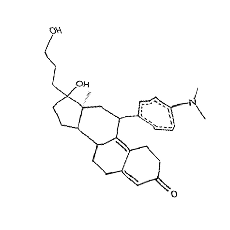 CN(C)c1ccc(C2C[C@@]3(C)C(CCC3(O)CCCO)C3CCC4=CC(=O)CCC4=C23)cc1